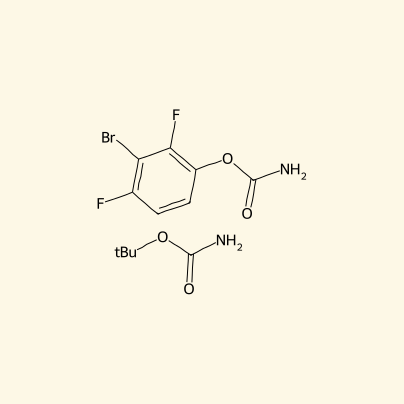 CC(C)(C)OC(N)=O.NC(=O)Oc1ccc(F)c(Br)c1F